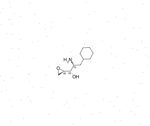 N[C@@H](CC1CCCCC1)[C@H](O)[C@H]1CO1